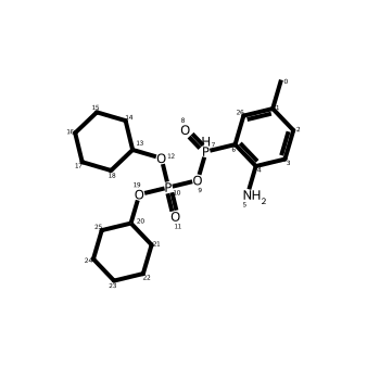 Cc1ccc(N)c([PH](=O)OP(=O)(OC2CCCCC2)OC2CCCCC2)c1